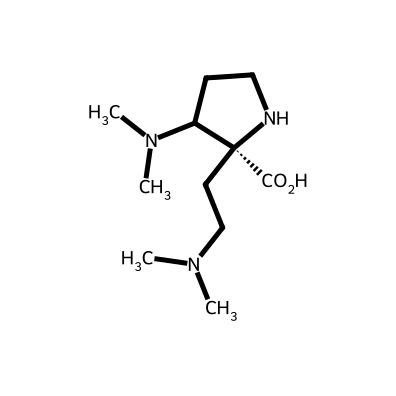 CN(C)CC[C@]1(C(=O)O)NCCC1N(C)C